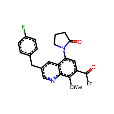 CCC(=O)c1cc(N2CCCC2=O)c2cc(Cc3ccc(F)cc3)cnc2c1OC